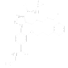 CCNC(=O)c1ccc(-n2nnc(C(=O)NC3CC3)c2CCCCCF)c(OCCCc2ccccc2)c1